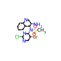 CS(=O)(=O)N(c1nc(Cl)ncc1Br)c1c(N)cnc2ccccc12